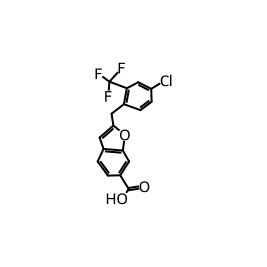 O=C(O)c1ccc2cc(Cc3ccc(Cl)cc3C(F)(F)F)oc2c1